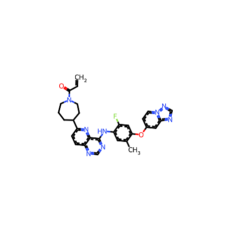 C=CC(=O)N1CCCC(c2ccc3ncnc(Nc4cc(C)c(Oc5ccn6ncnc6c5)cc4F)c3n2)CC1